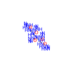 O=C(NCCN(CCN(CCN(CCNC(=O)Nc1nnn[nH]1)C(=O)Nc1nnc[nH]1)C(=O)Nc1nnc[nH]1)C(=O)Nc1nnc[nH]1)Nc1nnc[nH]1